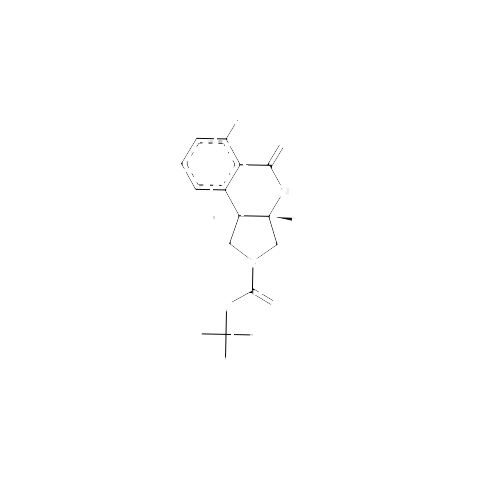 CC(C)(C)OC(=O)N1C[C@H]2NC(=O)c3c(Cl)cccc3[C@@H]2C1